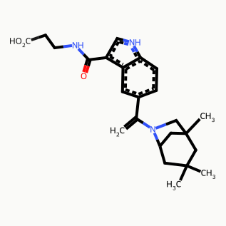 C=C(c1ccc2[nH]cc(C(=O)NCCC(=O)O)c2c1)N1CC2(C)CC1CC(C)(C)C2